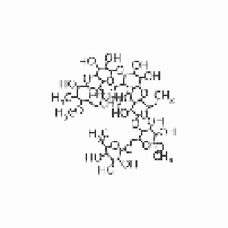 CCC1OC(OCC2OC(OC)C(O)C(O)C2OC2OC(CC)C(OC3OC(CC)C(OC4OC(CC)C(OC5OC(CC)C(OC)C(C)C5O)C(O)C4O)C(O)C3O)C(O)C2O)C(O)C(O)C1O